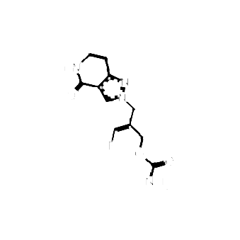 NC(=O)OCC(=CF)Cn1cc2c(n1)CCNC2=O